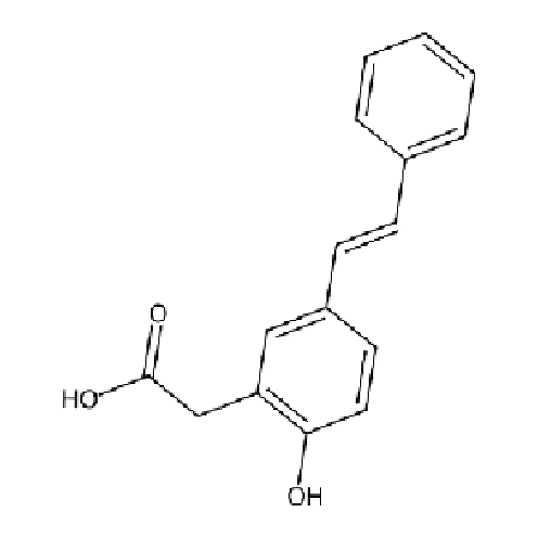 O=C(O)Cc1cc(C=Cc2ccccc2)ccc1O